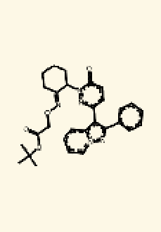 CC(C)(C)OC(=O)CON=C1CCCCC1n1nc(-c2c(-c3ccccc3)nn3ccccc23)ccc1=O